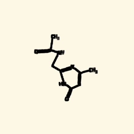 CC(=O)NCc1nc(C)cc(=O)[nH]1